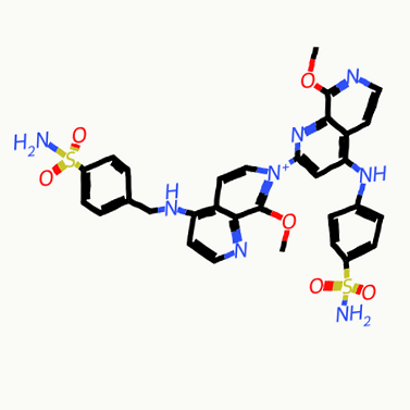 COc1nccc2c(Nc3ccc(S(N)(=O)=O)cc3)cc(-[n+]3ccc4c(NCc5ccc(S(N)(=O)=O)cc5)ccnc4c3OC)nc12